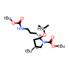 C[SiH](C)O[C@]1(CCCNC(=O)OC(C)(C)C)C[C@H](C(C)(C)C)CN1C(=O)OC(C)(C)C